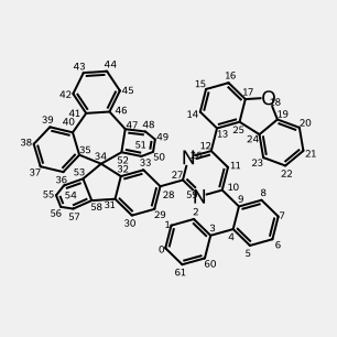 c1ccc(-c2ccccc2-c2cc(-c3cccc4oc5ccccc5c34)nc(-c3ccc4c(c3)C3(c5ccccc5-c5ccccc5-c5ccccc53)c3ccccc3-4)n2)cc1